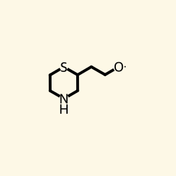 [O]CCC1CNCCS1